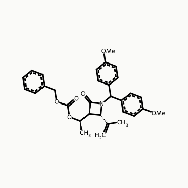 C=C(C)[C@@H]1[C@@H]([C@@H](C)OC(=O)OCc2ccccc2)C(=O)N1C(c1ccc(OC)cc1)c1ccc(OC)cc1